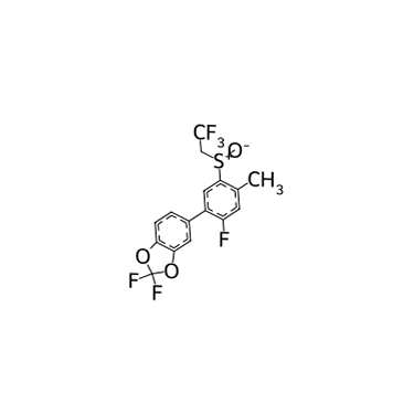 Cc1cc(F)c(-c2ccc3c(c2)OC(F)(F)O3)cc1[S+]([O-])CC(F)(F)F